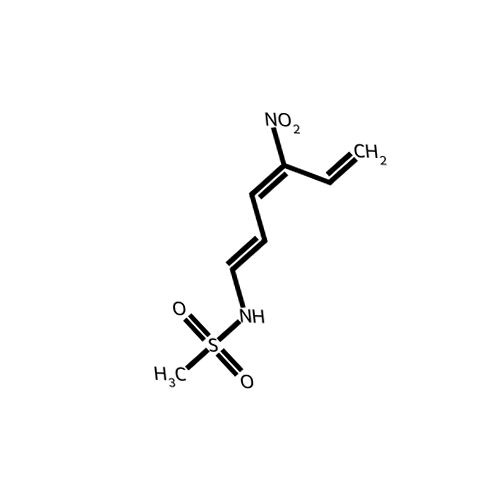 C=C/C(=C\C=C\NS(C)(=O)=O)[N+](=O)[O-]